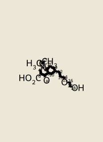 CN(C)n1cc(C(=O)O)c(=O)c2cc(C=CCOCCO)ccc21